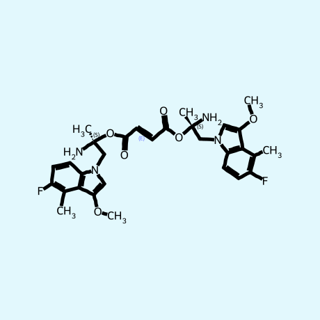 COc1cn(C[C@@](C)(N)OC(=O)/C=C/C(=O)O[C@](C)(N)Cn2cc(OC)c3c(C)c(F)ccc32)c2ccc(F)c(C)c12